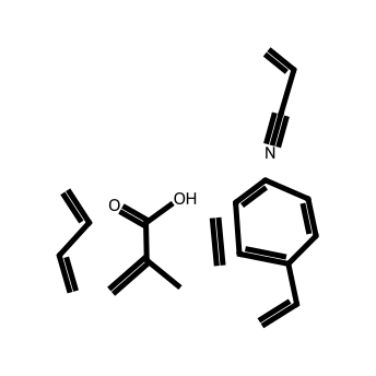 C=C.C=C(C)C(=O)O.C=CC#N.C=CC=C.C=Cc1ccccc1